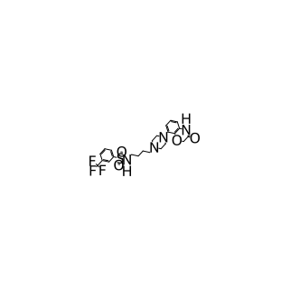 O=C1COc2c(cccc2N2CCN(CCCCNS(=O)(=O)c3cccc(C(F)(F)F)c3)CC2)N1